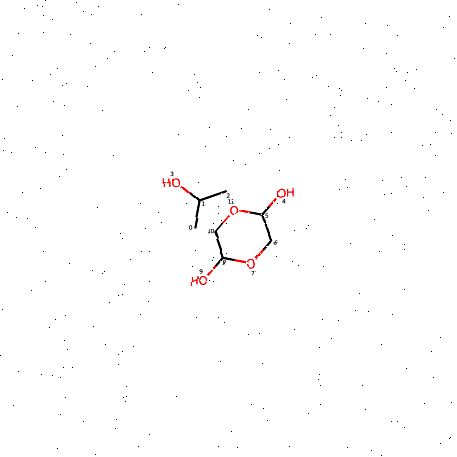 CC(C)O.OC1COC(O)CO1